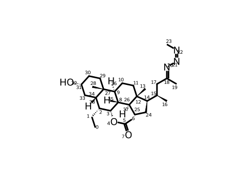 CC[C@H]1[C@@H](OC(C)=O)[C@@H]2[C@H](CC[C@]3(C)[C@@H]([C@H](C)C/C(C)=N/N=N\C)CC[C@@H]23)[C@@]2(C)CC[C@@H](O)C[C@@H]12